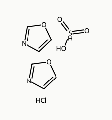 Cl.O=[SH](=O)O.c1cocn1.c1cocn1